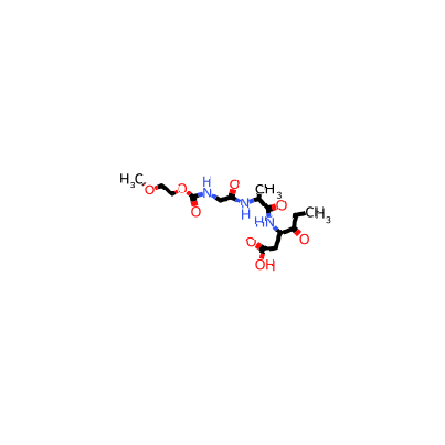 CCC(=O)C(CC(=O)O)NC(=O)C(C)NC(=O)CNC(=O)OCCOC